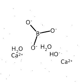 O.O.[Ca+2].[Ca+2].[O-]B([O-])[O-].[OH-]